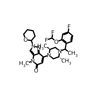 CC(c1ccc(F)cc1OC(F)F)N1C[C@H](C)N(c2cc(=O)n(C)c3cn(C4CCCCO4)nc23)C[C@H]1C